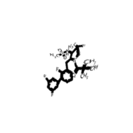 CC(C)(O)C(=O)N1CC(C)(F)C(NS(C)(=O)=O)C1Cc1cccc(-c2cc(F)cc(F)c2)c1F